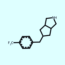 FC(F)(F)c1ccc(CC2CC3CNCC3C2)cc1